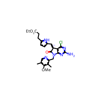 CCOC(=O)CCc1ccc(/C=C2\C(=O)N(Cc3ncc(C)c(OC)c3C)c3nc(N)nc(Cl)c32)[nH]1